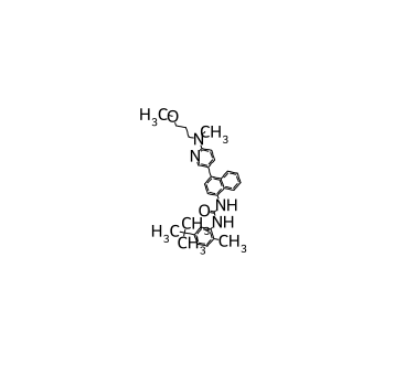 COCCCN(C)c1ccc(-c2ccc(NC(=O)Nc3cc(C(C)(C)C)ccc3C)c3ccccc23)cn1